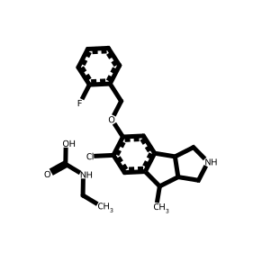 CC1c2cc(Cl)c(OCc3ccccc3F)cc2C2CNCC12.CCNC(=O)O